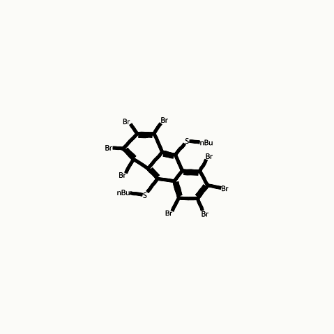 CCCCSc1c2c(Br)c(Br)c(Br)c(Br)c2c(SCCCC)c2c(Br)c(Br)c(Br)c(Br)c12